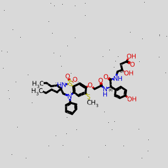 CCCCC1(CCCC)CN(c2ccccc2)c2cc(SC)c(OCC(=O)N[C@@H](C(=O)NC[C@@H](O)CC(=O)O)c3ccc(O)cc3)cc2S(=O)(=O)N1